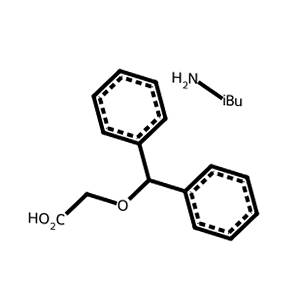 CCC(C)N.O=C(O)COC(c1ccccc1)c1ccccc1